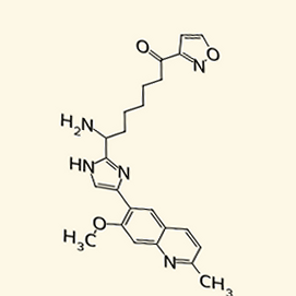 COc1cc2nc(C)ccc2cc1-c1c[nH]c(C(N)CCCCCC(=O)c2ccon2)n1